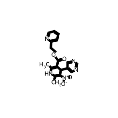 CC1=C(C(=O)OCCc2ccccn2)C(c2cncnc2)C([N+](=O)[O-])=C(C)N1